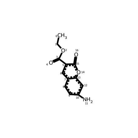 CCOC(=O)c1cc2ccc(N)cc2oc1=O